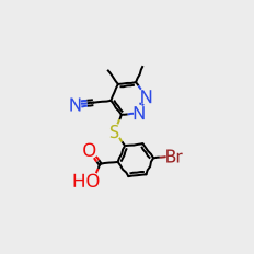 Cc1nnc(Sc2cc(Br)ccc2C(=O)O)c(C#N)c1C